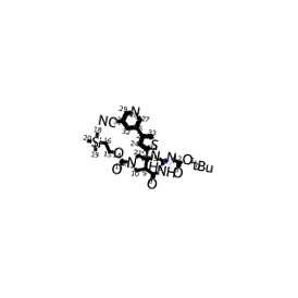 CC(C)(C)OC(=O)/N=C1\NC(=O)C2CN(C(=O)OCC[Si](C)(C)C)C[C@]2(c2cc(-c3cncc(C#N)c3)cs2)N1